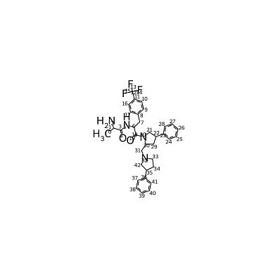 CC(N)C(=O)NC(Cc1ccc(C(F)(F)F)cc1)C(=O)N1CC(c2ccccc2)CC1CN1CCC(c2ccccc2)C1